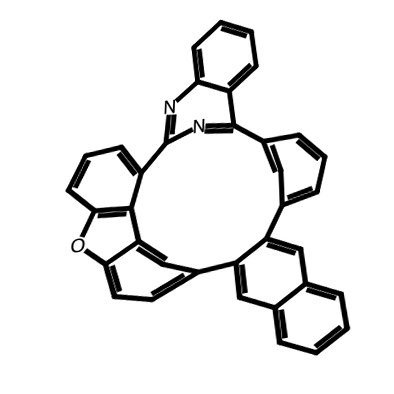 c1ccc2cc3c4ccc5oc6cccc(c7nc8ccccc8c(n7)c7cccc(c7)c3cc2c1)c6c5c4